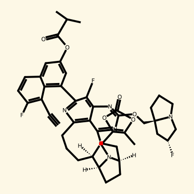 C#Cc1c(F)ccc2cc(OC(=O)C(C)C)cc(-c3nc4c5c(nc(OC[C@@]67CCCN6C[C@H](F)C7)nc5c3F)N3C[C@H]5CC[C@@H]([C@H]3CCC4)N5Cc3oc(=O)oc3C)c12